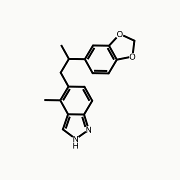 Cc1c(CC(C)c2ccc3c(c2)OCO3)ccc2n[nH]cc12